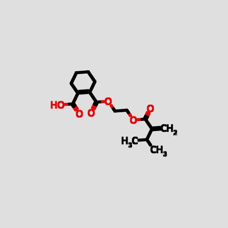 C=C(C(=O)OCCOC(=O)C1=C(C(=O)O)CCCC1)C(C)C